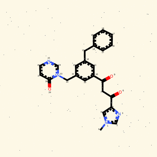 Cn1cnc(C(=O)CC(=O)c2cc(Cc3ccccc3)cc(Cn3cnccc3=O)c2)c1